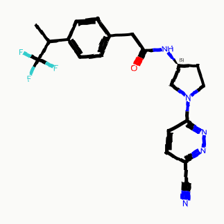 CC(c1ccc(CC(=O)N[C@H]2CCN(c3ccc(C#N)nn3)C2)cc1)C(F)(F)F